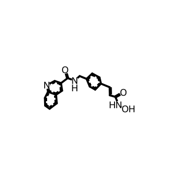 O=C(C=Cc1ccc(CNC(=O)c2cnc3ccccc3c2)cc1)NO